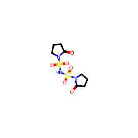 O=C1CCCN1S(=O)(=O)NS(=O)(=O)N1CCCC1=O